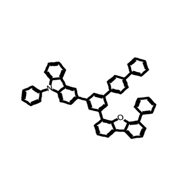 c1ccc(-c2ccc(-c3cc(-c4ccc5c(c4)c4ccccc4n5-c4ccccc4)cc(-c4cccc5c4oc4c(-c6ccccc6)cccc45)c3)cc2)cc1